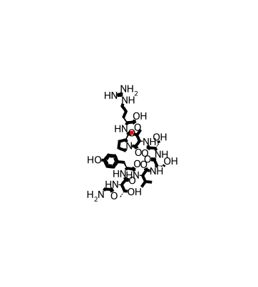 CC(C)[C@H](NC(=O)[C@H](Cc1ccc(O)cc1)NC(=O)[C@@H](NC(=O)CN)[C@@H](C)O)C(=O)N[C@@H](CO)C(=O)N[C@@H](CO)C(=O)N[C@H](C(=O)N1CCC[C@H]1C(=O)N[C@@H](CCCNC(=N)N)C(=O)O)C(C)C